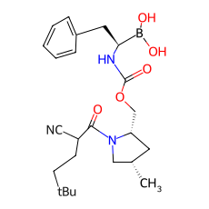 C[C@H]1C[C@@H](COC(=O)N[C@@H](Cc2ccccc2)B(O)O)N(C(=O)C(C#N)CCC(C)(C)C)C1